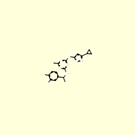 Cc1nc(Nc2cc(C3CC3)[nH]n2)nc(NC(C)c2ccc(F)c(F)c2)n1